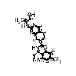 CNC[C@@H](NC(=O)N1CCc2cnc(N[C@@H](C)CO)nc2C1)c1ccc(C(F)(F)F)c(F)c1